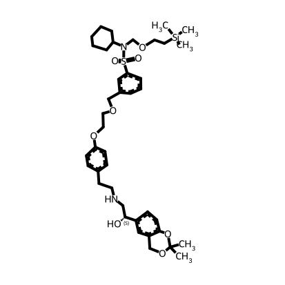 CC1(C)OCc2cc([C@H](O)CNCCc3ccc(OCCOCc4cccc(S(=O)(=O)N(COCC[Si](C)(C)C)C5CCCCC5)c4)cc3)ccc2O1